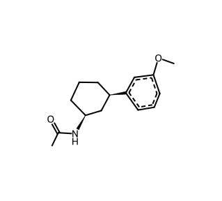 COc1cccc([C@@H]2CCC[C@H](NC(C)=O)C2)c1